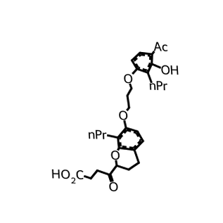 CCCc1c(OCCCOc2ccc3c(c2CCC)OC(C(=O)CCC(=O)O)CC3)ccc(C(C)=O)c1O